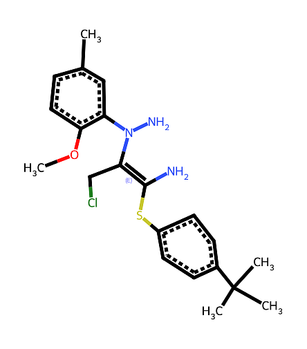 COc1ccc(C)cc1N(N)/C(CCl)=C(\N)Sc1ccc(C(C)(C)C)cc1